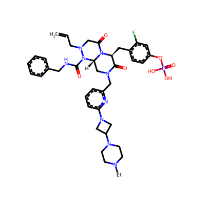 C=CCN1CC(=O)N2[C@@H](Cc3ccc(OP(=O)(O)O)cc3F)C(=O)N(Cc3cccc(N4CC(N5CCN(CC)CC5)C4)n3)C[C@@H]2N1C(=O)NCc1ccccc1